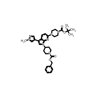 Cn1cc(-c2cn(C3CCN(C(=O)OCc4ccccc4)CC3)c3nc(N4CCN(C(=O)OC(C)(C)C)CC4)ccc23)cn1